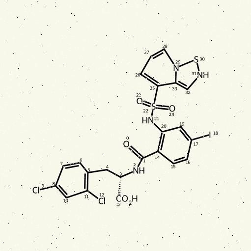 O=C(N[C@@H](Cc1ccc(Cl)cc1Cl)C(=O)O)c1ccc(I)cc1NS(=O)(=O)C1=CC=CN2SNC=C12